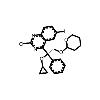 Clc1nc([C@](COC2CCCCO2)(OC2CC2)c2ccccc2)c2cc(I)ccc2n1